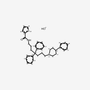 Cl.O=C(NCCCC(CCCN1CCC(c2ccccc2)CC1)(c1ccccc1)c1ccccc1)c1cccs1